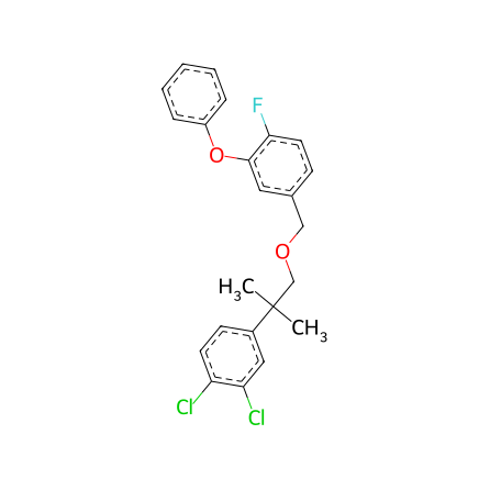 CC(C)(COCc1ccc(F)c(Oc2ccccc2)c1)c1ccc(Cl)c(Cl)c1